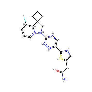 NC(=O)Cc1cnc(-c2cnc(NCC3(c4ncccc4F)CCC3)nn2)s1